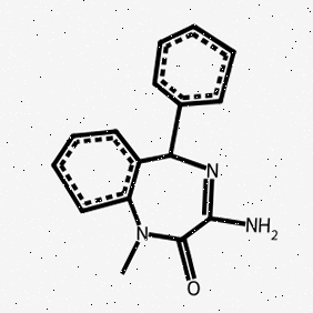 CN1C(=O)C(N)=NC(c2ccccc2)c2ccccc21